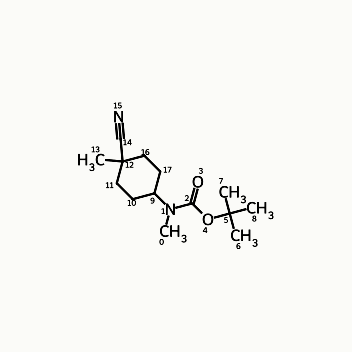 CN(C(=O)OC(C)(C)C)C1CCC(C)(C#N)CC1